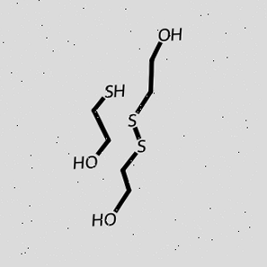 OCCS.OCCSSCCO